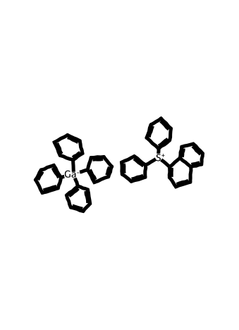 c1cc[c]([Ga-]([c]2ccccc2)([c]2ccccc2)[c]2ccccc2)cc1.c1ccc([S+](c2ccccc2)c2cccc3ccccc23)cc1